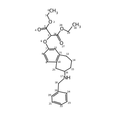 CCOC(=O)C(Oc1ccc2c(c1)CCCC(NCc1ccccc1)C2)C(=O)OCC